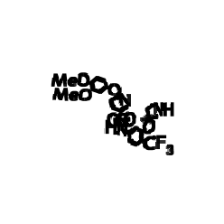 COc1ccc(Oc2ccc(S(=O)(=O)Nc3ccc(C(F)(F)F)c(O[C@]4(C)CCNC4)c3)cn2)cc1OC